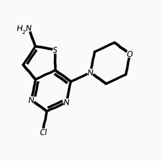 Nc1cc2nc(Cl)nc(N3CCOCC3)c2s1